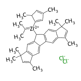 CC1=CC(C)[C]([Zr+2](=[C](C)C)[CH]2c3cc4c(cc3-c3cc5c(cc32)C(C)(C)C=C5C)C(C)=CC4(C)C)=C1.[Cl-].[Cl-]